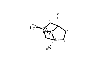 N[C@H]1C[C@H]2CC[C@@H](C1)N2N